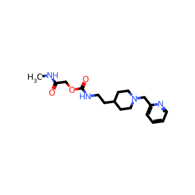 CNC(=O)COC(=O)NCCC1CCN(Cc2ccccn2)CC1